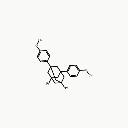 CC(C)C12CC3(c4ccc(OC#N)cc4)CC(c4ccc(OC#N)cc4)(C1)CC(C(C)C)(C3)C2